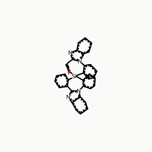 c1ccc2c(c1)-c1nc3ccccc3n1-c1ccccc1[Si]21c2ccccc2-c2nc3ccccc3n2-c2ccccc21